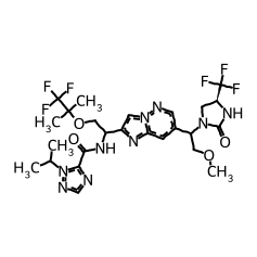 COCC(c1cnn2cc(C(COC(C)(C)C(F)(F)F)NC(=O)c3ncnn3C(C)C)nc2c1)N1C[C@@H](C(F)(F)F)NC1=O